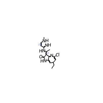 CCC1C=C(Cl)N=C2C(=C1)NC(=O)/C2=C(/C)NC(=N)/C=C\NC